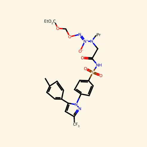 CCOC(=O)OCON=[N+]([O-])N(CC(=O)NS(=O)(=O)c1ccc(-n2nc(C(F)(F)F)cc2-c2ccc(C)cc2)cc1)C(C)C